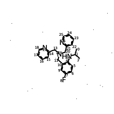 CC(C)Nc1ccc(F)cc1CN(Cc1ccccn1)Cc1ccccn1